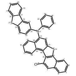 Clc1cc2ccccc2c2sc3cc(N(c4ccccc4)c4ccc5sc6ccccc6c5c4)c4ccccc4c3c12